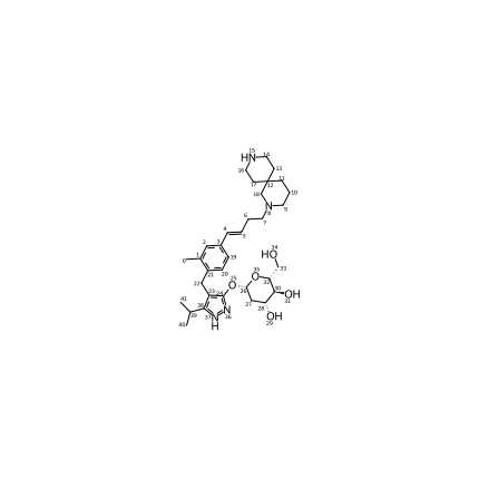 Cc1cc(/C=C/CCN2CCCC3(CCNCC3)C2)ccc1Cc1c(O[C@H]2C[C@@H](O)[C@H](O)[C@@H](CO)O2)n[nH]c1C(C)C